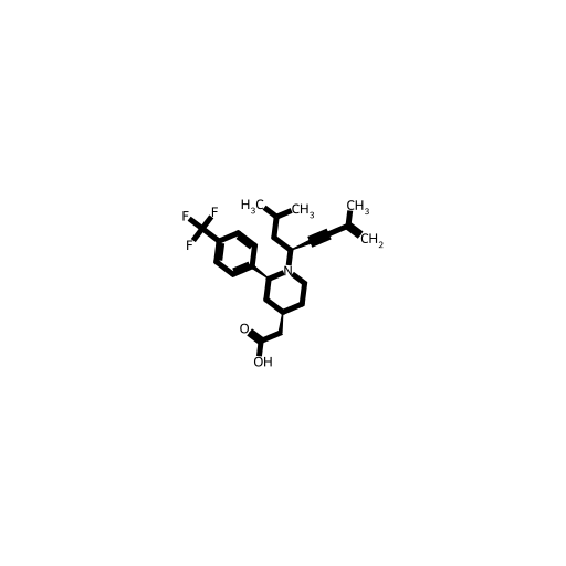 C=C(C)C#C[C@H](CC(C)C)N1CC[C@@H](CC(=O)O)C[C@H]1c1ccc(C(F)(F)F)cc1